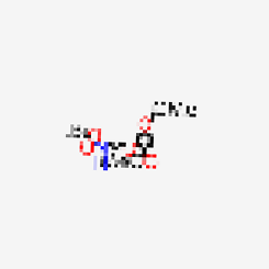 COCCOc1ccc(C(=O)OC)c(OCCCNC(=O)OC(C)(C)C)c1